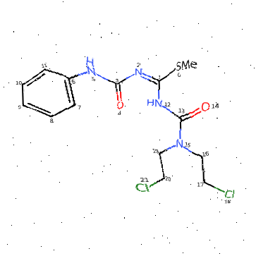 CSC(=NC(=O)Nc1ccccc1)NC(=O)N(CCCl)CCCl